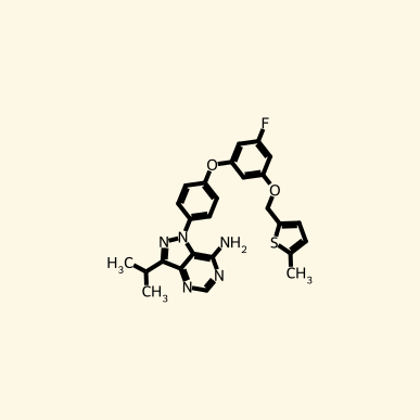 Cc1ccc(COc2cc(F)cc(Oc3ccc(-n4nc(C(C)C)c5ncnc(N)c54)cc3)c2)s1